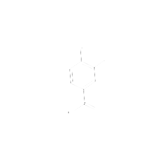 CCCC(=O)c1ccc(Br)c(F)c1.Cl